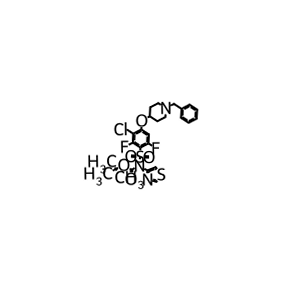 CC(C)(C)OC(=O)N(c1cscn1)S(=O)(=O)c1c(F)cc(OC2CCN(Cc3ccccc3)CC2)c(Cl)c1F